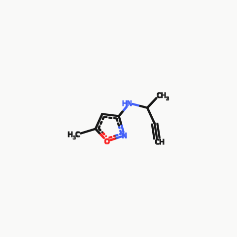 C#CC(C)Nc1cc(C)on1